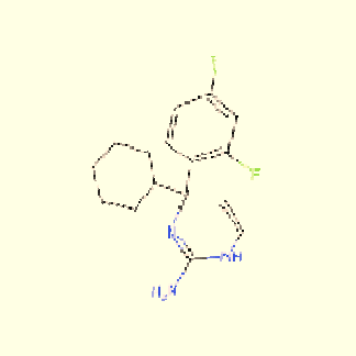 NC1=NC(c2ccc(F)cc2F)(C2CCCCC2)C=CN1